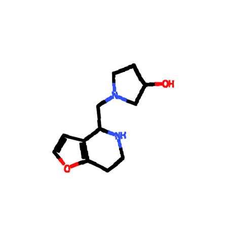 OC1CCN(CC2NCCc3occc32)C1